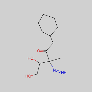 CC(N=N)(C(=O)CC1CCCCC1)C(O)CO